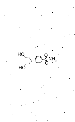 NS(=O)(=O)c1ccc(N(CCO)CCO)cc1